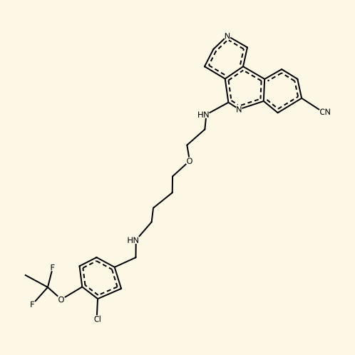 CC(F)(F)Oc1ccc(CNCCCCOCCNc2nc3cc(C#N)ccc3c3cnccc23)cc1Cl